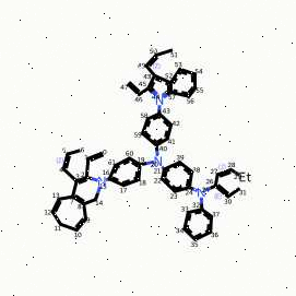 C=CC1=C(/C=C\C)C2=C(C=CCC=C2)CN1c1ccc(N(c2ccc(N(C(/C=C\CC)=C/C)c3ccccc3)cc2)c2ccc(-n3c(C=C)c(/C=C\C)c4ccccc43)cc2)cc1